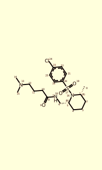 C[C@@H]1CCC[C@H](CNC(=O)CCCN(C)C)N1S(=O)(=O)c1ccc(Cl)cc1